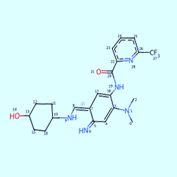 CN(C)C1=CC(=N)/C(=C\NC2CCC(O)CC2)C=C1NC(=O)c1cccc(C(F)(F)F)n1